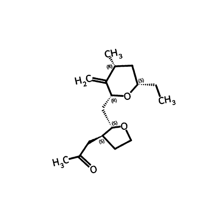 C=C1[C@H](C)C[C@H](CC)O[C@@H]1C[C@@H]1OCC[C@H]1CC(C)=O